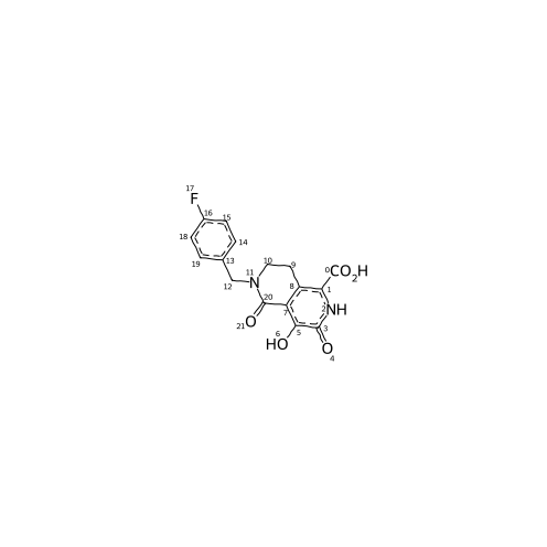 O=C(O)c1[nH]c(=O)c(O)c2c1CCN(Cc1ccc(F)cc1)C2=O